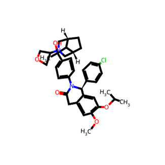 COc1cc2c(cc1OC(C)C)[C@H](c1ccc(Cl)cc1)N(c1ccc(C(C)(O)C3[C@@H]4CC[C@H]3CN(C3COC3)C4)cc1)C(=O)C2